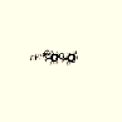 CCC[N+]([O-])=Cc1ccc(OCc2ccccc2)cc1